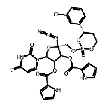 [N-]=[N+]=N[C@]1(COP2(=O)OCC[C@@H](c3cccc(Cl)c3)O2)OC(n2ccc(=O)[nH]c2=O)[C@H](OC(=O)c2ccc[nH]2)[C@@H]1OC(=O)c1ccc[nH]1